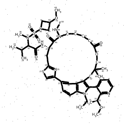 CCn1c(-c2cccnc2[C@H](C)OC)c2c3cc(ccc31)-c1csc(n1)C[C@H](NC(=O)C(C(C)C)N(C)S(=O)(=O)N1CC(OC)C1)C(=O)N(NF)CCCCC(=O)OCC(C)(C)C2